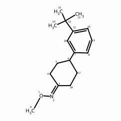 CON=C1CCC(c2cccc(C(C)(C)C)c2)CC1